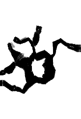 O=[N+]([O-])c1c(CO)ccc(CO)c1[N+](=O)[O-]